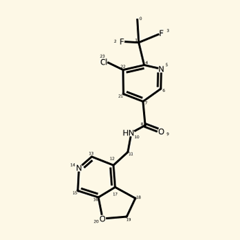 CC(F)(F)c1ncc(C(=O)NCc2cncc3c2CCO3)cc1Cl